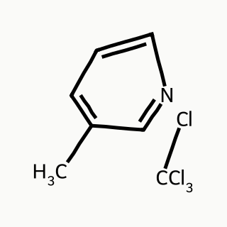 Cc1cccnc1.ClC(Cl)(Cl)Cl